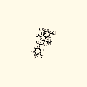 CC(=O)SC(CC(=O)c1ccc(F)c(Cl)c1)(c1cc(Cl)cc(Cl)c1)C(F)(F)F